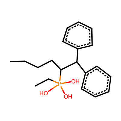 CCCCC(C(c1ccccc1)c1ccccc1)P(O)(O)(O)CC